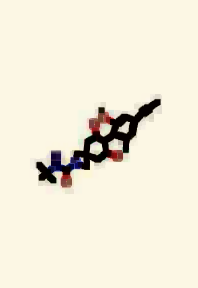 CC#Cc1cc(C)c(C2C(=O)CC3(CC2=O)CN(C(=O)NC(C)(C)C)C3)c(OC)c1